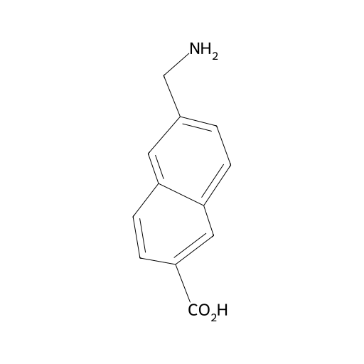 NCc1ccc2cc(C(=O)O)ccc2c1